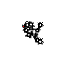 C1=CC2c3c(-c4cccc(C5NC(c6ccc7ccccc7c6)=NC(c6ccc(-c7ccccc7)cc6)N5)c4)cccc3C3(c4ccccc4Oc4ccccc43)C2C=C1